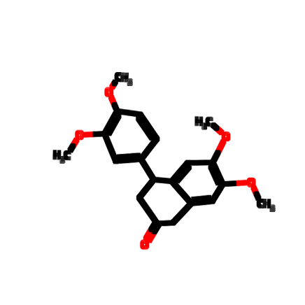 COc1ccc(C2CC(=O)Cc3cc(OC)c(OC)cc32)cc1OC